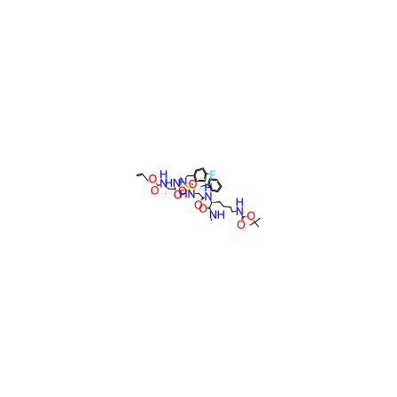 C=CCOC(=O)N[C@@H](C)C(=O)NN(Cc1ccc(F)cc1)S(=O)(=O)N[C@H](Cc1ccccc1)C(=O)N[C@@H](CCCCNC(=O)OC(C)(C)C)C(=O)NC